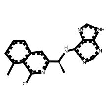 Cc1cccc2cc([C@H](C)Nc3ncnc4[nH]cnc34)nc(Cl)c12